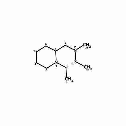 CCN1CCCCC1CN(C)SC